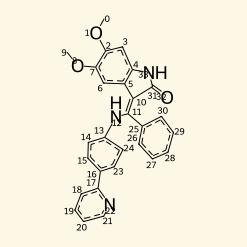 COc1cc2c(cc1OC)C(=C(Nc1ccc(-c3ccccn3)cc1)c1ccccc1)C(=O)N2